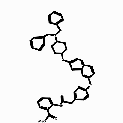 COC(=O)c1ccccc1NC(=O)Cc1ccc(Oc2ccc3ccc(OC4CCC(N(Cc5ccccc5)Cc5ccccc5)CC4)cc3c2)cc1